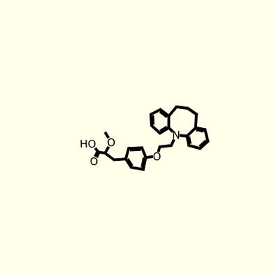 COC(Cc1ccc(OCCN2c3ccccc3CCCc3ccccc32)cc1)C(=O)O